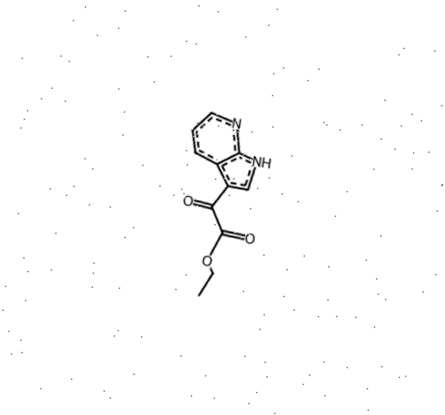 CCOC(=O)C(=O)c1c[nH]c2ncccc12